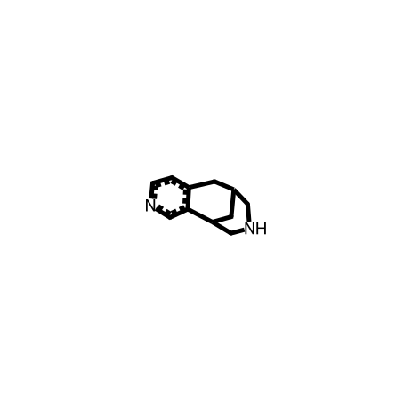 c1cc2c(cn1)C1CNCC(C2)C1